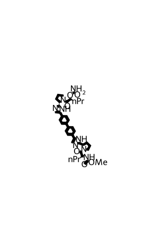 CCC[C@H](NC(=O)OC)C(=O)N1CCCC1c1ncc(-c2ccc(-c3ccc(-c4cnc([C@@H]5CCCN5C(=O)[C@H](CCC)OC(N)=O)[nH]4)cc3)cc2)[nH]1